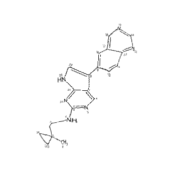 CC1(CNc2ncc3c(-c4ccc5ncncc5c4)c[nH]c3n2)CC1